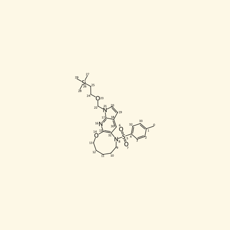 Cc1ccc(S(=O)(=O)N2CCCCCOc3nc4c(ccn4COCC[Si](C)(C)C)cc32)cc1